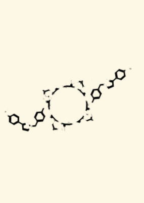 COc1ccc(-c2ccn(Cc3ccc(C[C@H]4OC(=O)[C@H](CC(C)C)N(C)C(=O)[C@@H](C)OC(=O)[C@H](CC(C)C)N(C)C(=O)[C@@H](Cc5ccc(Cn6ccc(-c7ccc(OC)cc7)n6)cc5)OC(=O)[C@H](CC(C)C)N(C)C(=O)[C@@H](C)OC(=O)[C@H](CC(C)C)N(C)C4=O)cc3)n2)cc1